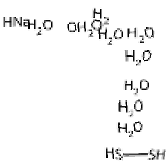 O.O.O.O.O.O.O.O.O.SS.[NaH]